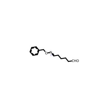 O=CCCCC/C=N/OCc1ccccc1